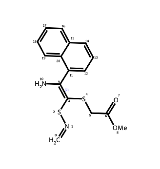 C=NS/C(SCC(=O)OC)=C(\N)c1cccc2ccccc12